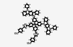 CC(C)(C)c1ccc(-c2nnc(-c3ccc(C4(c5ccc(-c6nnc(-c7ccc(C(C)(C)C)cc7)o6)cc5)c5ccc(-n6c7ccccc7c7cc8c(cc76)c6ccccc6n8-c6ccccc6)cc5-c5cc(-n6c7ccccc7c7cc8c(cc76)c6ccccc6n8-c6ccccc6)ccc54)cc3)o2)cc1